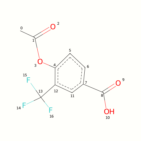 CC(=O)Oc1ccc(C(=O)O)cc1C(F)(F)F